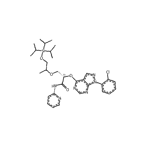 CC(CO[Si](C(C)C)(C(C)C)C(C)C)OC[C@H](Oc1ncnc2c1cnn2-c1ccccc1Cl)C(=O)Nc1ccccn1